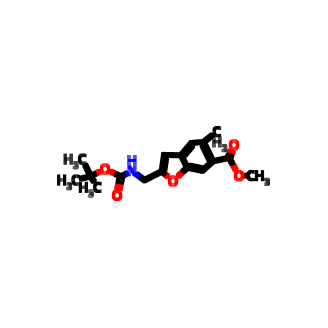 COC(=O)c1cc2oc(CNC(=O)OC(C)(C)C)cc2cc1C